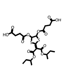 CCC(C)OC(=O)C(C(=O)OC(C)CC)=C1SC(OC(=O)CCC(=O)O)C(OC(=O)CCC(=O)O)S1